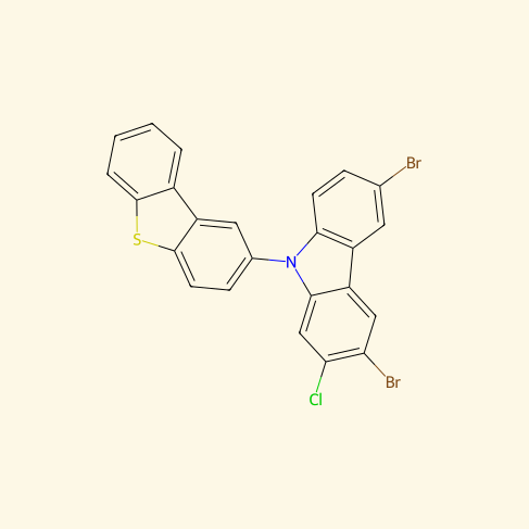 Clc1cc2c(cc1Br)c1cc(Br)ccc1n2-c1ccc2sc3ccccc3c2c1